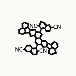 N#Cc1ccc2c(-c3cc4c5cc6c(cc5c(-c5c(C#N)ccc7cc(C#N)ccc57)cc4c4cc5c(cc34)-c3cccc4cccc-5c34)-c3cccc4cccc-6c34)c(C#N)ccc2c1